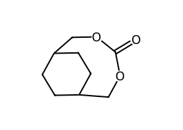 O=C1OCC2CCC(CC2)CO1